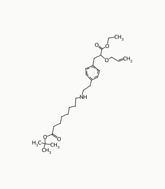 C=CCOC(Cc1ccc(CCNCCCCCCCC(=O)OC(C)(C)C)cc1)C(=O)OCC